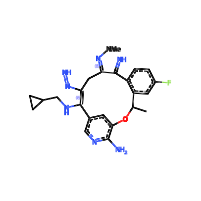 CN/N=C1/C/C(N=N)=C(/NCC2CC2)c2cnc(N)c(c2)OC(C)c2cc(F)ccc2C1=N